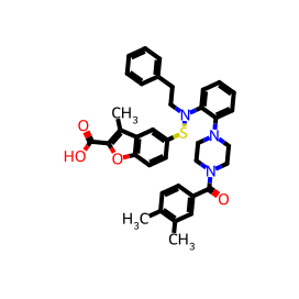 Cc1ccc(C(=O)N2CCN(c3ccccc3N(CCc3ccccc3)Sc3ccc4oc(C(=O)O)c(C)c4c3)CC2)cc1C